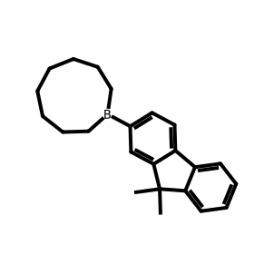 CC1(C)c2ccccc2-c2ccc(B3CCCCCCCC3)cc21